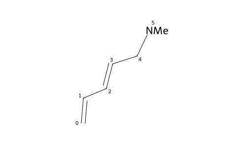 C=CC=CCNC